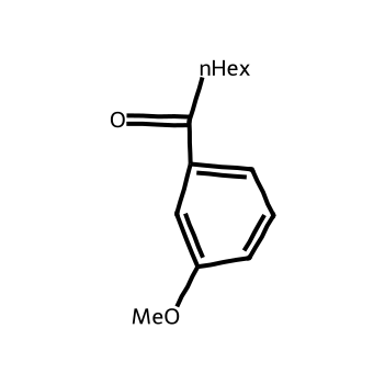 CCCCCCC(=O)c1cccc(OC)c1